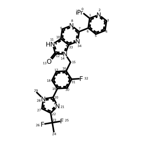 CC(C)c1ncccc1-c1ncc2[nH]c(=O)n(Cc3ccc(-c4nc(C(C)(F)F)cn4C)cc3F)c2n1